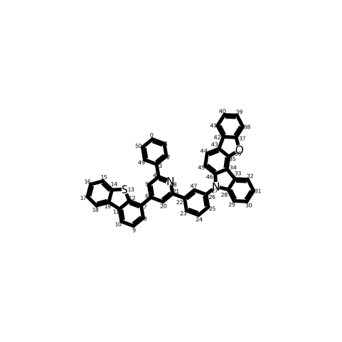 c1ccc(-c2cc(-c3cccc4c3sc3ccccc34)cc(-c3cccc(-n4c5ccccc5c5c6oc7ccccc7c6ccc54)c3)n2)cc1